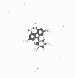 CN1C(=O)C(=C2c3cc([N+](=O)[O-])cc([N+](=O)[O-])c3-c3c2cc([N+](=O)[O-])cc3[N+](=O)[O-])C(=O)N(C)C1=S